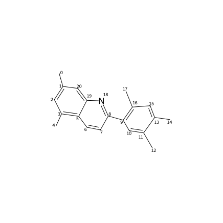 Cc1cc(C)c2ccc(-c3cc(C)c(C)cc3C)nc2c1